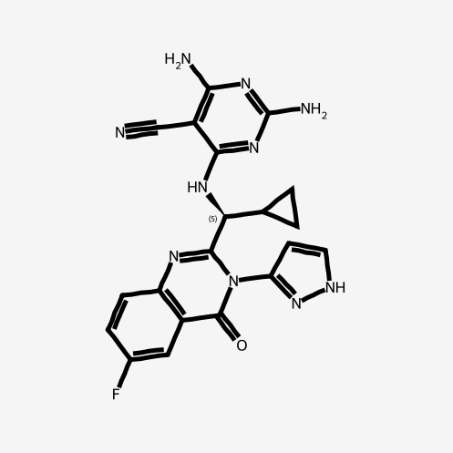 N#Cc1c(N)nc(N)nc1N[C@H](c1nc2ccc(F)cc2c(=O)n1-c1cc[nH]n1)C1CC1